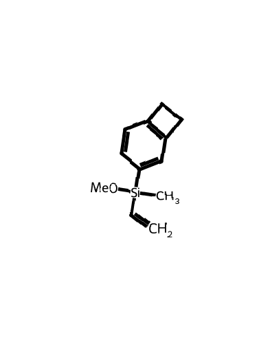 C=C[Si](C)(OC)c1ccc2c(c1)CC2